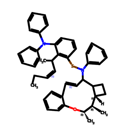 CC/C=C\C(C)c1c(SN(c2ccccc2)C2/C=C/c3ccccc3O[C@@H](C)[C@H](C)[C@H]3CCC23)cccc1N(c1ccccc1)c1ccccc1